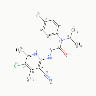 Cc1nc(NCC(=O)N(c2ccc(Cl)cc2)C(C)C)c(C#N)c(C)c1Cl